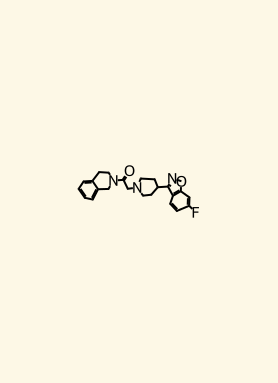 O=C(CN1CCC(c2noc3cc(F)ccc23)CC1)N1CCc2ccccc2C1